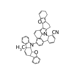 CC12C=CC3c4ccccc4OC3C1N(c1ccc(C3C=CC=C(C#N)C3n3c4c(c5c3CCc3c-5oc5c3CCC=C5)C=CCC4)cc1)c1ccccc12